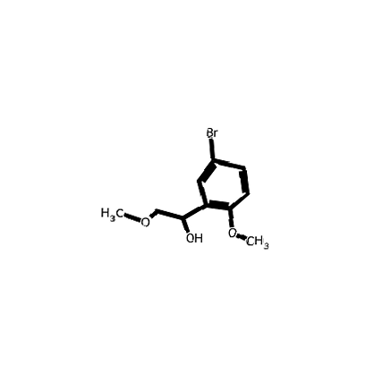 COCC(O)c1cc(Br)ccc1OC